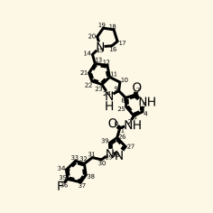 O=C(Nc1c[nH]c(=O)c(C2Cc3cc(CN4CCCCC4)ccc3N2)c1)c1cnn(CCc2ccc(F)cc2)c1